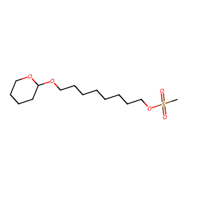 CS(=O)(=O)OCCCCCCCCOC1CCCCO1